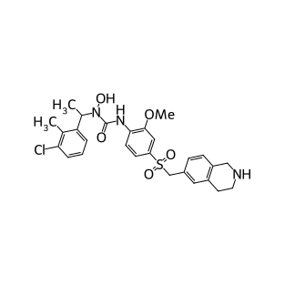 COc1cc(S(=O)(=O)Cc2ccc3c(c2)CCNC3)ccc1NC(=O)N(O)C(C)c1cccc(Cl)c1C